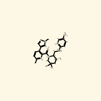 Cc1ccc(-c2cnn(C)c2)c(C(=O)N2CC(F)(F)C[C@@H](C)C2CNc2ccc(C(F)(F)F)cn2)n1